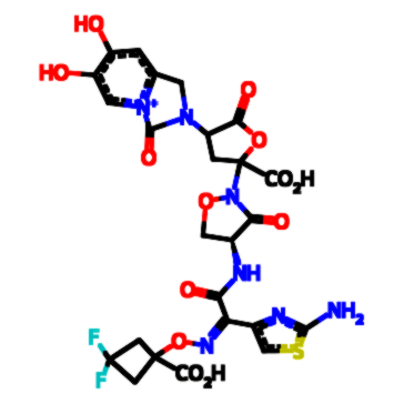 Nc1nc(/C(=N/OC2(C(=O)O)CC(F)(F)C2)C(=O)N[C@H]2CON(C3(C(=O)O)CC(N4Cc5cc(O)c(O)c[n+]5C4=O)C(=O)O3)C2=O)cs1